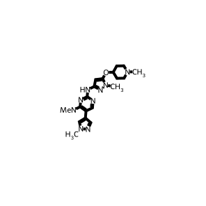 CNc1nc(Nc2cc(OC3CCN(C)CC3)n(C)n2)ncc1-c1cnn(C)c1